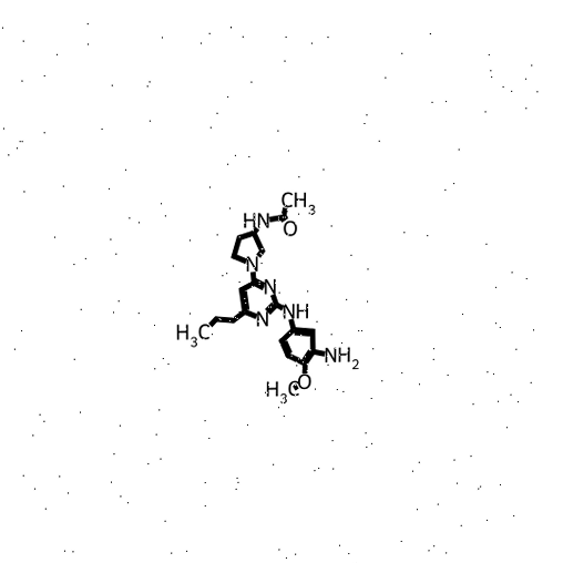 CCCc1cc(N2CCC(NC(C)=O)C2)nc(Nc2ccc(OC)c(N)c2)n1